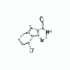 O=c1[nH]cnc2c1sc1cccc(Cl)c12